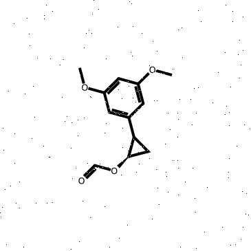 COc1cc(OC)cc(C2C[C@H]2OC=O)c1